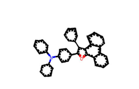 c1ccc(-c2c(-c3ccc(N(c4ccccc4)c4ccccc4)cc3)oc3c4ccccc4c4ccccc4c23)cc1